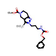 CCOC(=O)c1c2c(nn1CCCNC(=O)OCc1ccccc1)CCN(C(=O)OC(C)(C)C)C2